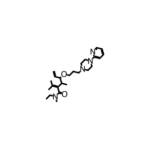 C=CC(OCCCN1CCN(c2ccccn2)CC1)C(C)C(C(=O)N(C)CC)=C(C)C